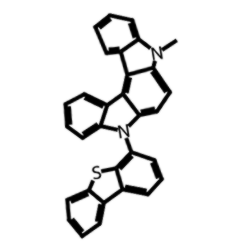 Cn1c2ccccc2c2c3c4ccccc4n(-c4cccc5c4sc4ccccc45)c3ccc21